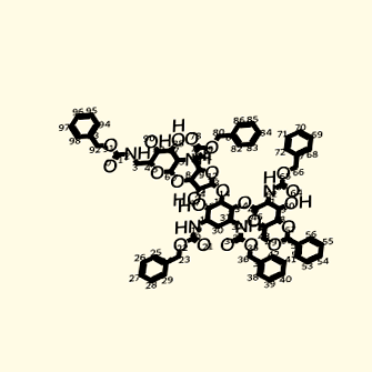 O=C(NCC1OC(OC2C(CF)OC(OC3C(O)C(NC(=O)OCc4ccccc4)CC(NC(=O)OCc4ccccc4)C3OC3OC4COC(c5ccccc5)OC4C(O)C3NC(=O)OCc3ccccc3)C2O)C(NC(=O)OCc2ccccc2)C(O)C1O)OCc1ccccc1